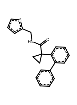 O=C(NCc1cccs1)C1(c2ccccc2-c2ccccc2)CC1